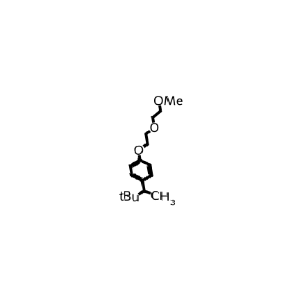 COCCOCCOc1ccc(C(C)C(C)(C)C)cc1